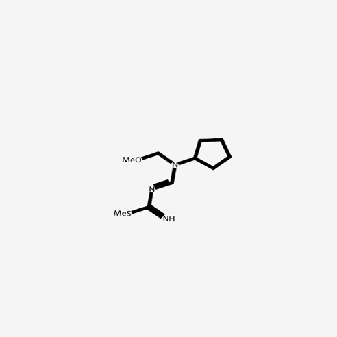 COCN(/C=N/C(=N)SC)C1CCCC1